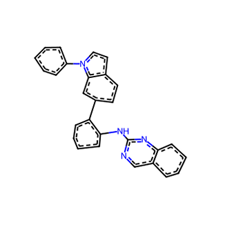 c1ccc(-n2ccc3ccc(-c4ccccc4Nc4ncc5ccccc5n4)cc32)cc1